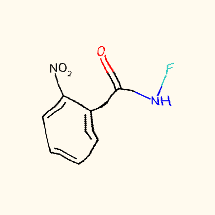 O=C(NF)c1ccccc1[N+](=O)[O-]